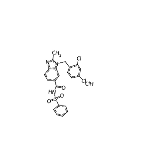 Cc1nc2ccc(C(=O)NS(=O)(=O)c3ccccc3)cc2n1Cc1ccc(Cl)cc1Cl.Cl